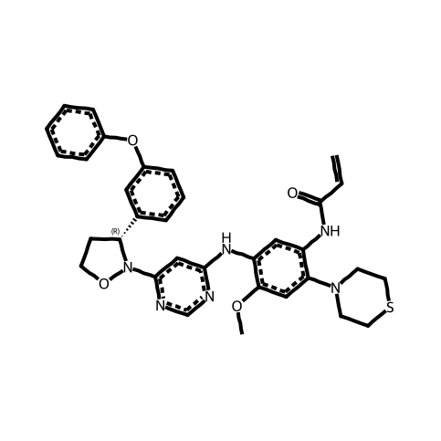 C=CC(=O)Nc1cc(Nc2cc(N3OCC[C@@H]3c3cccc(Oc4ccccc4)c3)ncn2)c(OC)cc1N1CCSCC1